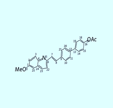 COc1ccc2nc(/C=C/c3ccc(-c4ccc(OC(C)=O)cc4)cc3)ccc2c1